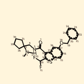 CN(C)C1(CNC(=O)c2c(C(F)F)sc3ccc(OCc4ccccc4)cc23)CCCC1